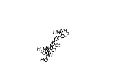 CC[C@H]1CN(c2nc(N)c(C(=O)NCCO)nc2Cl)CCN1C1CCN(Cc2ccc(C)cc2C(=N)N)CC1